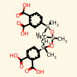 C[Si](C)(O[Si](C)(C)c1ccc(C(=O)O)c(C(=O)O)c1)O[Si](C)(C)c1ccc(C(=O)O)c(C(=O)O)c1